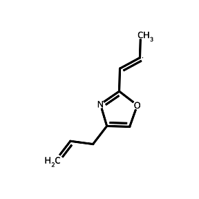 C=CCc1coc(/C=[C]/C)n1